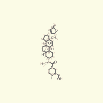 CN(C(=O)N1CCN[C@H](CO)C1)[C@H]1CC[C@@]2(C)[C@H](CC[C@@H]3[C@@H]2CC[C@]2(C)[C@@H](C4=CC(=O)OC4)CC[C@]32O)C1